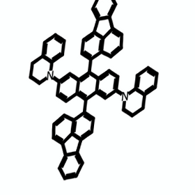 c1ccc2c(c1)CCCN2c1ccc2c(-c3ccc4c5c(cccc35)-c3ccccc3-4)c3cc(N4CCCc5ccccc54)ccc3c(-c3ccc4c5c(cccc35)-c3ccccc3-4)c2c1